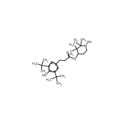 CC(C)(C)c1cc(CCC(=O)OC2CCN(O)C(C)(C)C2(C)C)cc(C(C)(C)C)c1O